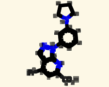 CC(C)c1cc(C(=O)O)nc2c1cnn2-c1cccc(N2CCCC2)c1